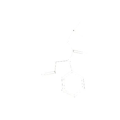 CC(C)(C)OC(=O)N1CC(=O)c2ncccc21